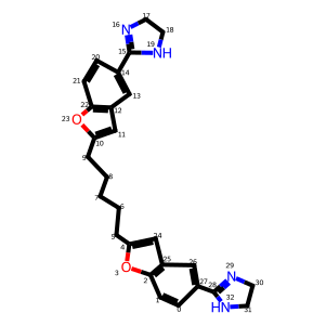 c1cc2oc(CCCCCc3cc4cc(C5=NCCN5)ccc4o3)cc2cc1C1=NCCN1